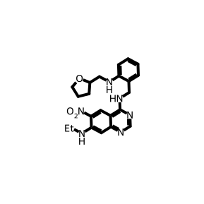 CCNc1cc2ncnc(NCc3ccccc3NCC3CCCO3)c2cc1[N+](=O)[O-]